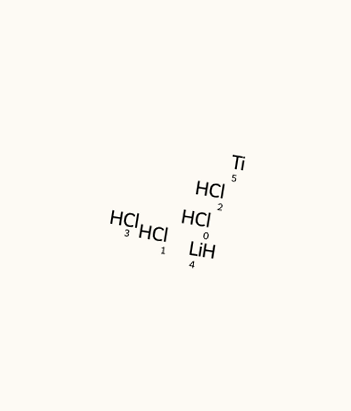 Cl.Cl.Cl.Cl.[LiH].[Ti]